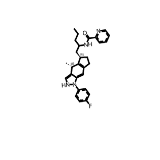 CCCC(C[C@H]1CCC2=C1[C@@H](C)C1=CNN(c3ccc(F)cc3)C1=C2)NC(=O)c1ccccn1